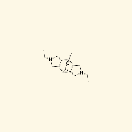 CCN1CC2C3C(C)CC(C)(C2C1)C1CN(CC)CC31